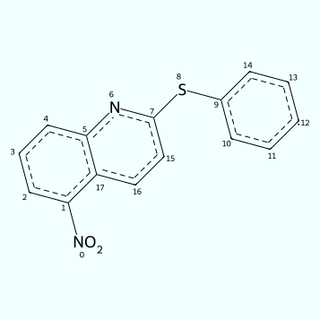 O=[N+]([O-])c1cccc2nc(Sc3cc[c]cc3)ccc12